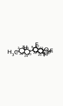 C[C@@H]1CC[C@@H]2CC(c3cc(F)c4cc(OC(F)F)c(F)cc4c3)CCC2C1